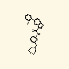 O=C(Nc1cccc(CN2CCOCC2)n1)c1cnc2ccc(-c3ccccc3F)nn12